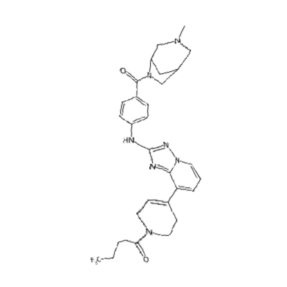 CN1CC2CC(C1)N(C(=O)c1ccc(Nc3nc4c(C5=CCN(C(=O)CCC(F)(F)F)CC5)cccn4n3)cc1)C2